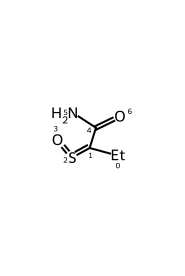 CCC(=S=O)C(N)=O